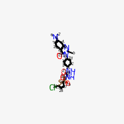 Cc1nc2cc(N(C)C)ccc2c(=O)n1-c1ccc(NC(=O)NS(=O)(=O)c2ccc(Cl)s2)cc1